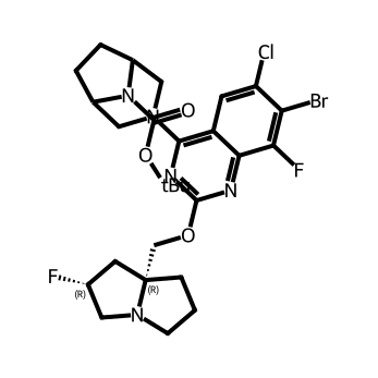 CC(C)(C)OC(=O)N1C2CCC1CN(c1nc(OC[C@]34CCCN3C[C@H](F)C4)nc3c(F)c(Br)c(Cl)cc13)C2